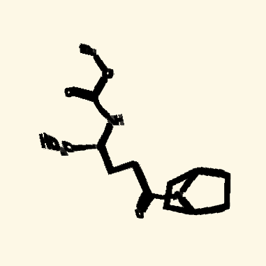 CC(C)(C)OC(=O)N[C@H](CCC(=O)N1C2CCC1CC2)C(=O)O